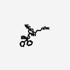 CCCCCCCCCCCCCC(=O)N[C@H](CN=[N+]=[N-])CO[Si](c1ccccc1)(c1ccccc1)C(C)(C)C